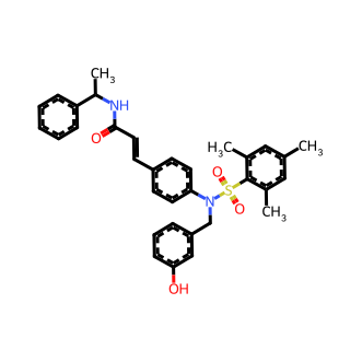 Cc1cc(C)c(S(=O)(=O)N(Cc2cccc(O)c2)c2ccc(C=CC(=O)NC(C)c3ccccc3)cc2)c(C)c1